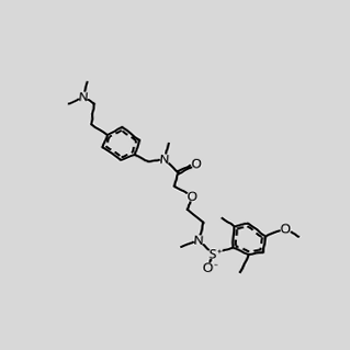 COc1cc(C)c([S+]([O-])N(C)CCOCC(=O)N(C)Cc2ccc(CCN(C)C)cc2)c(C)c1